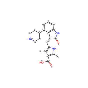 Cc1[nH]c(/C=C2\C(=O)Nc3cccc(C4CCNCC4)c32)c(C)c1C(=O)O